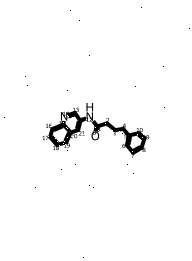 O=C([CH]CCc1ccccc1)Nc1cnc2ccccc2c1